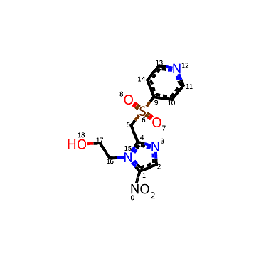 O=[N+]([O-])c1cnc(CS(=O)(=O)c2ccncc2)n1CCO